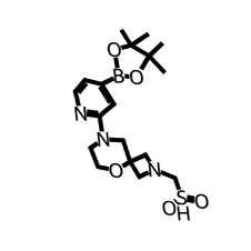 CC1(C)OB(c2ccnc(N3CCOC4(CN(C[SH](=O)=O)C4)C3)c2)OC1(C)C